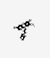 Cc1cc2c(cc1Br)Oc1cc(Br)cnc1N2CCCN1CC2COCC(C2)C1